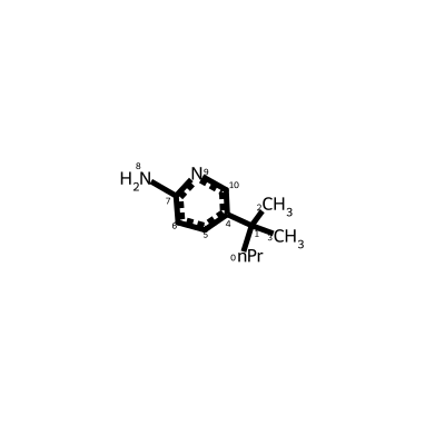 CCCC(C)(C)c1ccc(N)nc1